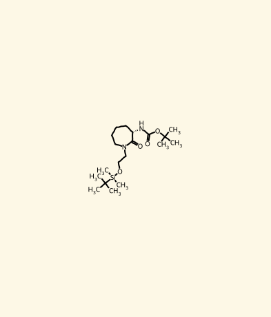 CC(C)(C)OC(=O)N[C@H]1CCCCN(CCO[Si](C)(C)C(C)(C)C)C1=O